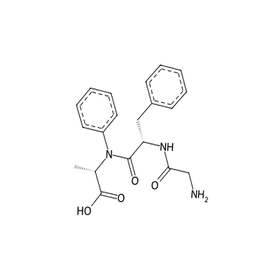 C[C@@H](C(=O)O)N(C(=O)[C@H](Cc1ccccc1)NC(=O)CN)c1ccccc1